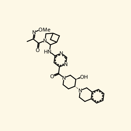 CO/N=C(/C)C(=O)N1CC2CC(C2)C1Nc1cc(C(=O)N2CC[C@@H](N3CCc4ccccc4C3)[C@H](O)C2)ncn1